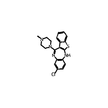 CN1CCN(C2=Nc3cc(Cl)ccc3Nc3sc4ccccc4c32)CC1